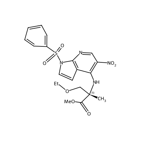 CCOC[C@](C)(Nc1c([N+](=O)[O-])cnc2c1ccn2S(=O)(=O)c1ccccc1)C(=O)OC